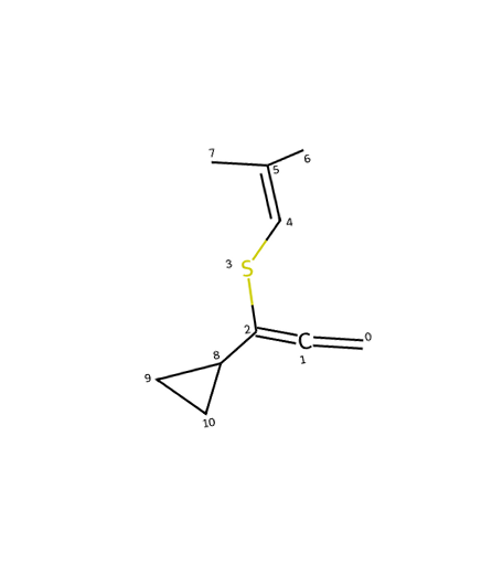 C=C=C(SC=C(C)C)C1CC1